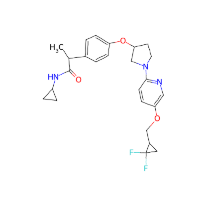 CC(C(=O)NC1CC1)c1ccc(OC2CCN(c3ccc(OCC4CC4(F)F)cn3)C2)cc1